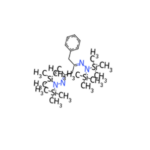 C/C(C/C(Cc1ccccc1)=N\N([Si](C)(C)C)[Si](C)(C)C)=N\N([Si](C)(C)C)[Si](C)(C)C